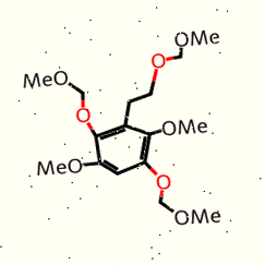 COCOCCc1c(OC)c(OCOC)cc(OC)c1OCOC